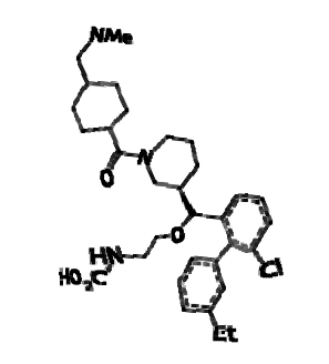 CCc1cccc(-c2c(Cl)cccc2C(OCCNC(=O)O)[C@@H]2CCCN(C(=O)C3CCC(CNC)CC3)C2)c1